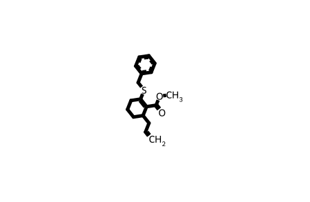 C=CCC1CCCC(SCc2ccccc2)=C1C(=O)OC